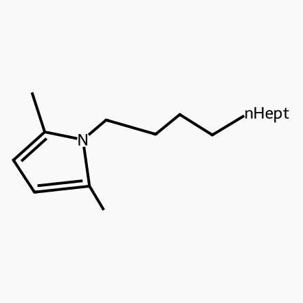 CCCCCCCCCCCn1c(C)ccc1C